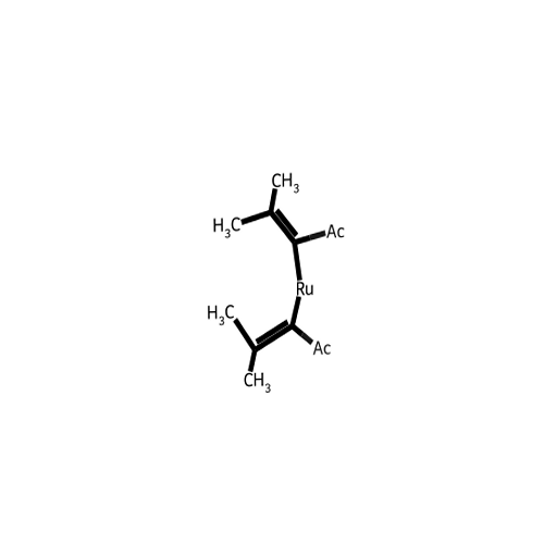 CC(=O)[C]([Ru][C](C(C)=O)=C(C)C)=C(C)C